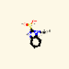 O=S(O)c1nc2ccccc2[nH]1.[NaH].[NaH]